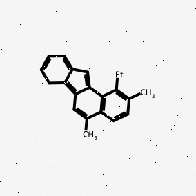 CCc1c(C)ccc2c(C)cc3c(c12)=CC1=CC=CCC=31